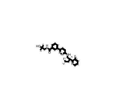 C[C@H](F)C[C@@](C)(CNc1ccc(-c2cccc(C(=O)NCC(C)(C)O)c2)nn1)c1ncccc1F